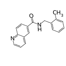 Cc1ccccc1CNC(=O)c1ccc2ncccc2c1